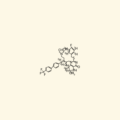 [2H]c1c([2H])c(CSc2nc(=O)c3c(n2CC(=O)N(CCN(CC)CC)C([2H])([2H])c2ccc(-c4ccc(C(F)(F)F)cc4)cc2)C([2H])([2H])C([2H])(C)C3([2H])[2H])c([2H])c([2H])c1F